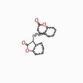 CCCCCC1C(=O)Oc2ccccc21.O=c1ccc2ccccc2o1